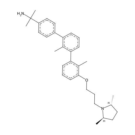 Cc1c(OCCCN2[C@H](C)CC[C@H]2C)cccc1-c1cccc(-c2ccc(C(C)(C)N)cc2)c1C